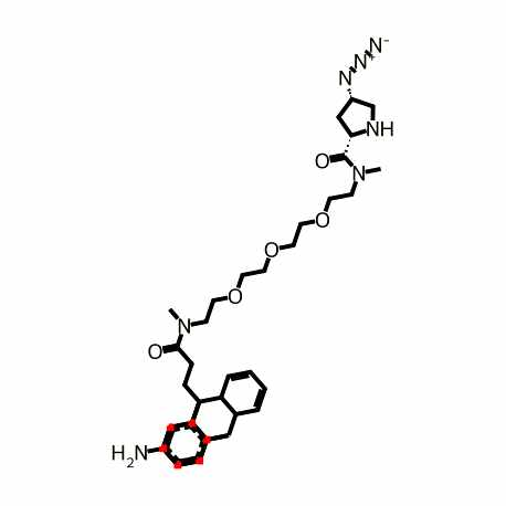 CN(CCOCCOCCOCCN(C)C(=O)[C@@H]1C[C@H](N=[N+]=[N-])CN1)C(=O)CCC12c3cc(N)ccc3C(C3C=CC=CC31)C1C=CC=CC12